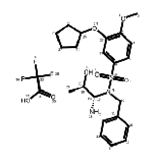 COc1ccc(S(=O)(=O)N(Cc2ccccc2)[C@H](N)[C@@H](C)O)cc1OC1CCCC1.O=C(O)C(F)(F)F